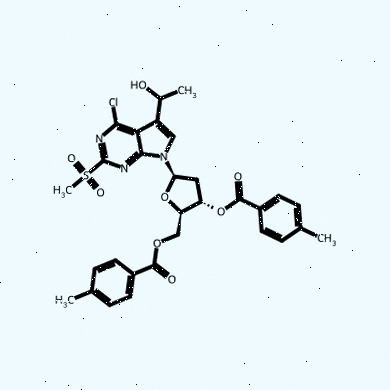 Cc1ccc(C(=O)OC[C@H]2O[C@@H](n3cc(C(C)O)c4c(Cl)nc(S(C)(=O)=O)nc43)C[C@@H]2OC(=O)c2ccc(C)cc2)cc1